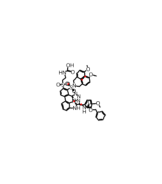 COc1ccc(CN(Cc2ccc(OC)cc2)S(=O)(=O)c2c(S(=O)(=O)CCNC(=O)O)ccc(-c3cccc4[nH]c(CNC(=O)OCc5ccccc5)nc34)c2-c2nnn(Cc3ccc(OC)cc3)n2)cc1